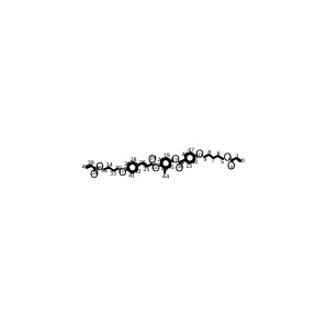 C=CC(=O)OCCCCCOc1ccc(C(=O)Oc2ccc(OC(=O)/C=C/c3ccc(OCCCCOC(=O)C=C)cc3)c(C)c2)cc1